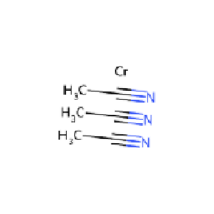 CC#N.CC#N.CC#N.[Cr]